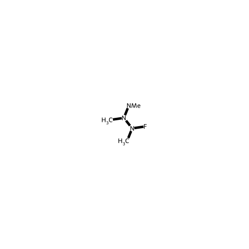 CNN(C)N(C)F